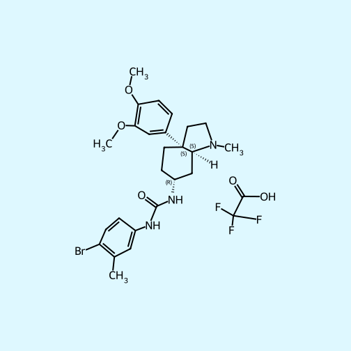 COc1ccc([C@@]23CC[C@@H](NC(=O)Nc4ccc(Br)c(C)c4)C[C@@H]2N(C)CC3)cc1OC.O=C(O)C(F)(F)F